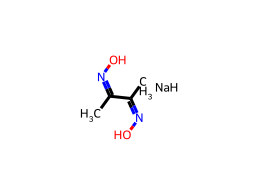 CC(=N/O)/C(C)=N\O.[NaH]